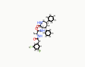 C[C@H](NC(=O)Cc1cc(F)cc(F)c1)C(=O)N[C@@H]1C(=O)NC[C@@H](c2ccccc2)C[C@@H]1c1ccccc1